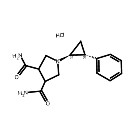 Cl.NC(=O)C1CN([C@H]2C[C@@H]2c2ccccc2)CC1C(N)=O